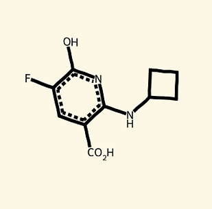 O=C(O)c1cc(F)c(O)nc1NC1CCC1